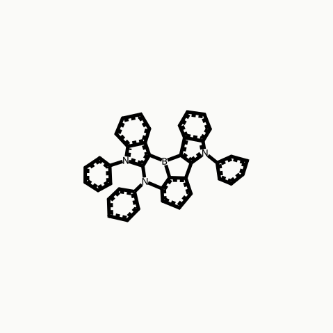 c1ccc(N2c3cccc4c3B(c3c-4n(-c4ccccc4)c4ccccc34)c3c2n(-c2ccccc2)c2ccccc32)cc1